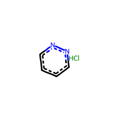 Cl.c1ccnnc1